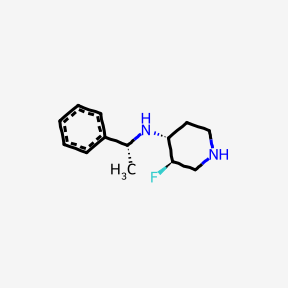 C[C@@H](N[C@@H]1CCNC[C@H]1F)c1ccccc1